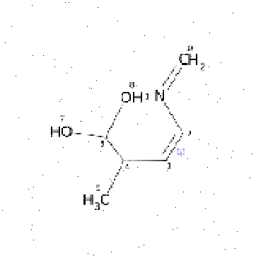 C=N/C=C\C(C)C(O)O